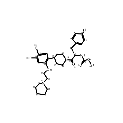 CC(C)(C)OC(=O)N[C@H](Cc1ccc(Cl)cc1)C(=O)N1CCC(c2cc(F)c(F)cc2OCCN2CCCCC2)CC1